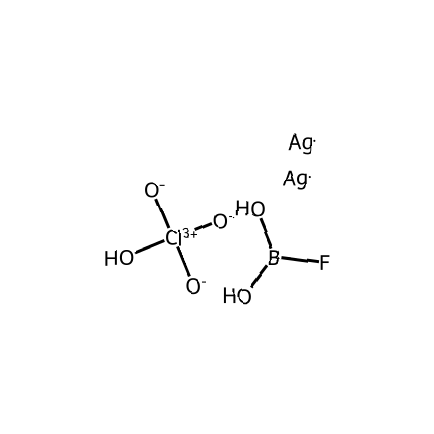 OB(O)F.[Ag].[Ag].[O-][Cl+3]([O-])([O-])O